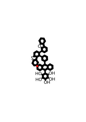 Oc1c(O)c(O)c(-c2c3ccccc3c(-c3cccc(-c4c(-c5cccc6c5oc5ccccc56)ccc5sc6ccccc6c45)c3)c3ccccc23)c(O)c1O